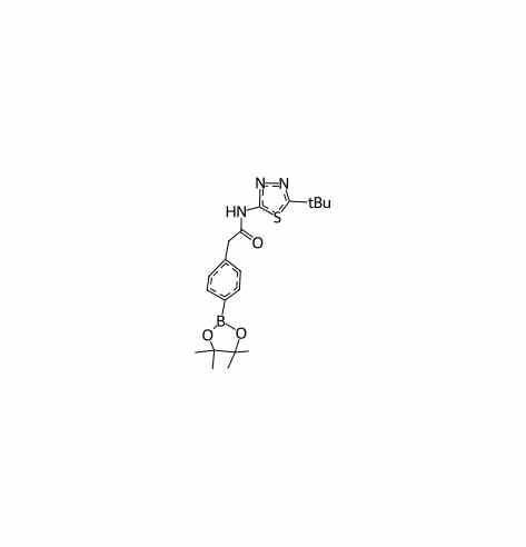 CC(C)(C)c1nnc(NC(=O)Cc2ccc(B3OC(C)(C)C(C)(C)O3)cc2)s1